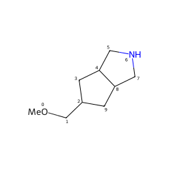 COCC1CC2CNCC2C1